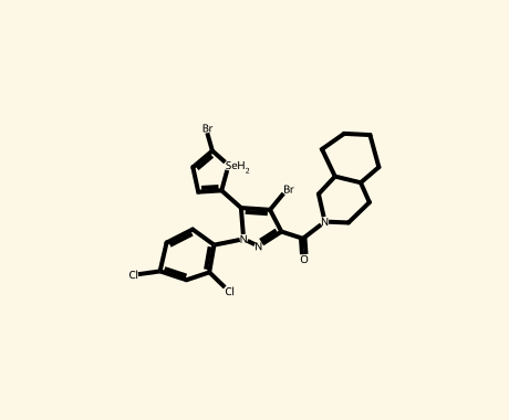 O=C(c1nn(-c2ccc(Cl)cc2Cl)c(C2=CC=C(Br)[SeH2]2)c1Br)N1CCC2CCCCC2C1